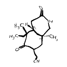 CC1(C)C(=O)C(C#N)C[C@]2(C)CNC(=O)C[C@@H]12